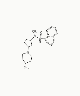 CC1CCN(C2CCC(N(C)S(=O)(=O)c3cccc4ccccc34)C2)CC1